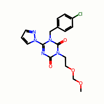 COCOCCn1c(=O)nc(-n2cccn2)n(Cc2ccc(Cl)cc2)c1=O